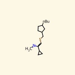 C=N/C(=C\SCC1CCC(CCCC)C1)C1CC1